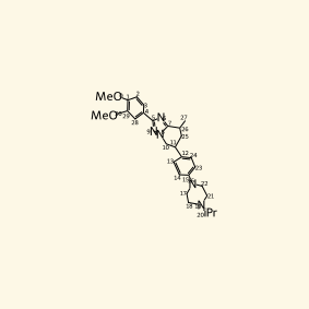 COc1ccc(-c2nc3n(n2)CC(c2ccc(N4CCN(C(C)C)CC4)cc2)CC3C)cc1OC